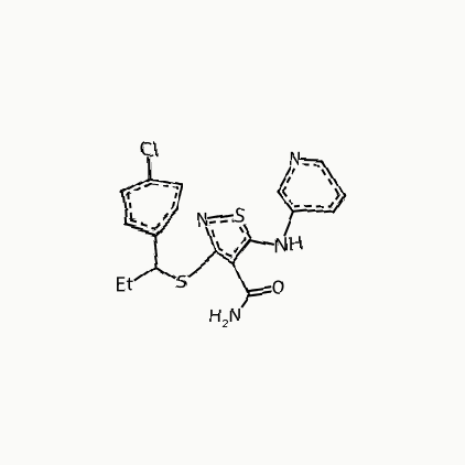 CCC(Sc1nsc(Nc2cccnc2)c1C(N)=O)c1ccc(Cl)cc1